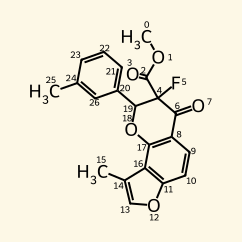 COC(=O)C1(F)C(=O)c2ccc3occ(C)c3c2OC1c1cccc(C)c1